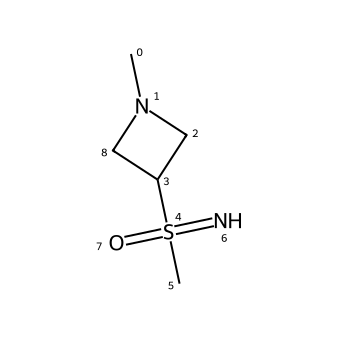 CN1CC(S(C)(=N)=O)C1